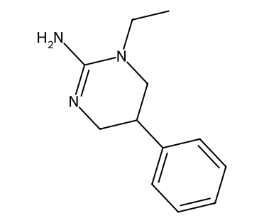 CCN1CC(c2ccccc2)CN=C1N